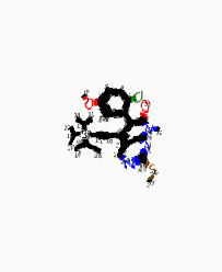 COc1ccc(Cl)c(-c2c(C#C[Si](C(C)C)(C(C)C)C(C)C)c3cnc(SC)nc3n(C)c2=O)c1